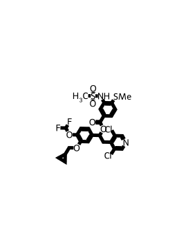 CSc1ccc(C(=O)OC(Cc2c(Cl)cncc2Cl)c2ccc(OC(F)F)c(OCC3CC3)c2)cc1NS(C)(=O)=O